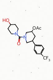 CC(=O)OC1CC(c2ccc(C(F)(F)F)cc2)CN(C(=O)N2CCC(O)CC2)C1